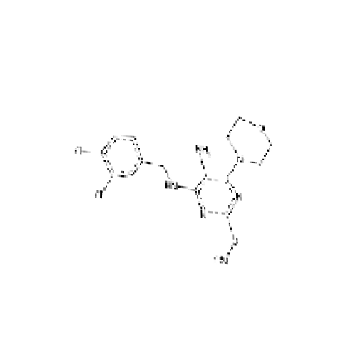 CCCCOc1nc(NCc2ccc(Cl)c(Cl)c2)c(N)c(N2CCOCC2)n1